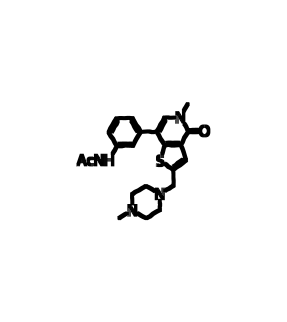 CC(=O)Nc1cccc(-c2cn(C)c(=O)c3cc(CN4CCN(C)CC4)sc23)c1